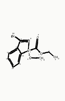 CCOC(=O)[N@+]1(OC)N=C(Br)c2ccccc21